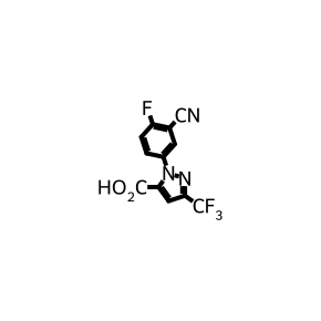 N#Cc1cc(-n2nc(C(F)(F)F)cc2C(=O)O)ccc1F